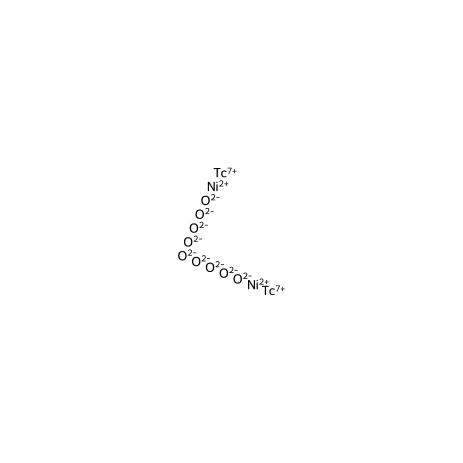 [Ni+2].[Ni+2].[O-2].[O-2].[O-2].[O-2].[O-2].[O-2].[O-2].[O-2].[O-2].[Tc+7].[Tc+7]